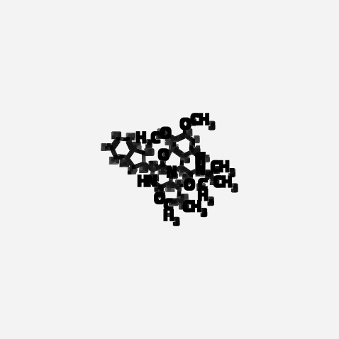 COc1cc(F)c(C(C(=O)NC(C)(C)C)N2C(=O)C(C3Cc4ccccc4C3)NC(=O)C2CC(C)C)cc1OC